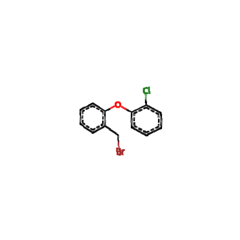 Clc1ccccc1Oc1ccccc1CBr